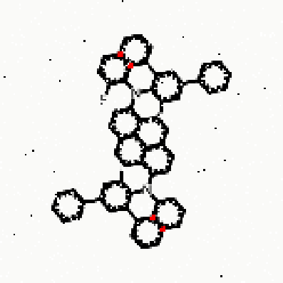 Fc1ccccc1N(c1c(F)cc(-c2ccccc2)cc1-c1ccccc1)c1ccc2ccc3c(N(c4ccccc4)c4c(F)cc(-c5ccccc5)cc4-c4ccccc4)ccc4ccc1c2c43